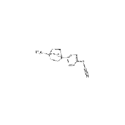 CC12CCC(c3ccc(SC#N)cc3)(CC1)CC2